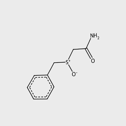 NC(=O)C[S+]([O-])Cc1ccccc1